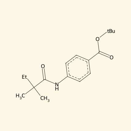 CCC(C)(C)C(=O)Nc1ccc(C(=O)OC(C)(C)C)cc1